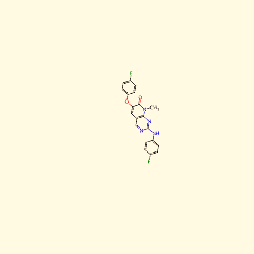 Cn1c(=O)c(Oc2ccc(F)cc2)cc2cnc(Nc3ccc(F)cc3)nc21